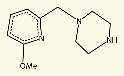 COc1cccc(CN2CCNCC2)n1